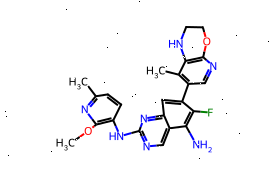 COc1nc(C)ccc1Nc1ncc2c(N)c(F)c(-c3cnc4c(c3C)NCCO4)cc2n1